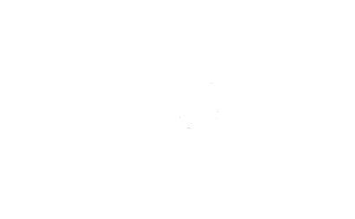 O[C@@H]1[C@H](Cc2ccccc2)C[C@H]2CO[C@@H]1O2